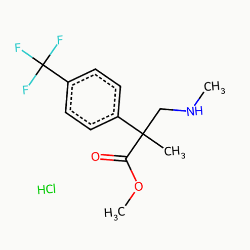 CNCC(C)(C(=O)OC)c1ccc(C(F)(F)F)cc1.Cl